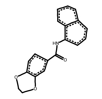 O=C(Nc1cccc2ccccc12)c1ccc2c(c1)OCCO2